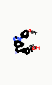 CC(C)Oc1ccc(-n2cnc3cc(/C=C\c4ccc(C(C)(O)C(F)(F)F)cc4)ccc32)cc1